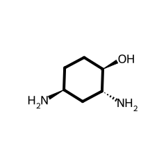 N[C@H]1CC[C@@H](O)[C@H](N)C1